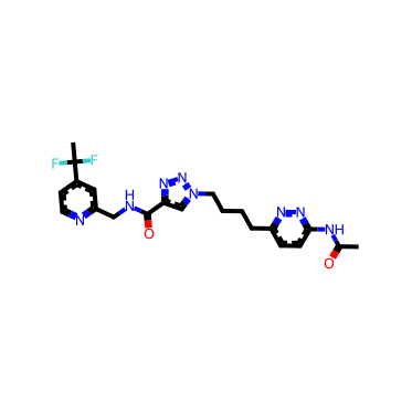 CC(=O)Nc1ccc(CCCCn2cc(C(=O)NCc3cc(C(C)(F)F)ccn3)nn2)nn1